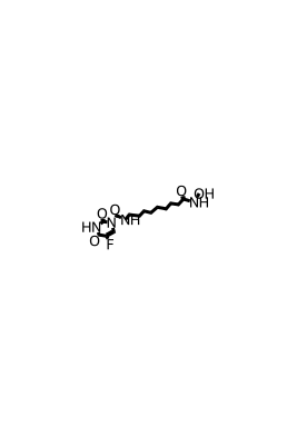 O=C(CCCCCCCCNC(=O)n1cc(F)c(=O)[nH]c1=O)NO